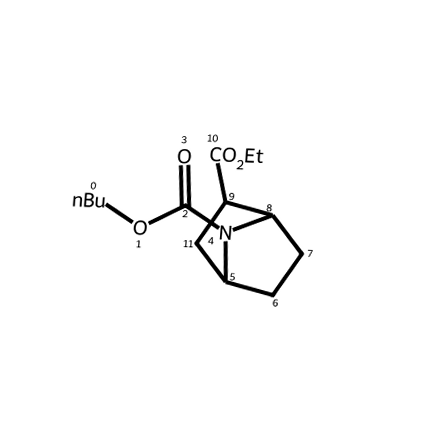 CCCCOC(=O)N1C2CCC1C(C(=O)OCC)C2